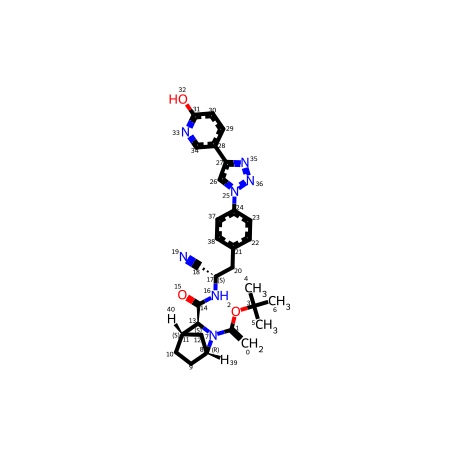 C=C(OC(C)(C)C)N1[C@@H]2CC[C@@H](C2)[C@H]1C(=O)N[C@H](C#N)Cc1ccc(-n2cc(-c3ccc(O)nc3)nn2)cc1